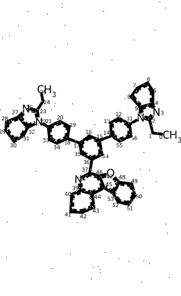 CCc1nc2ccccc2n1-c1ccc(-c2cc(-c3ccc(-n4c(CC)nc5ccccc54)cc3)cc(-c3nc4ccccc4c4c3oc3ccccc34)c2)cc1